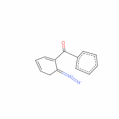 [N-]=[N+]=C1CC=CC=C1C(=O)c1ccccc1